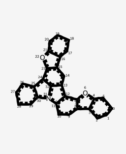 c1ccc2c(c1)oc1c2ccc2c1c1cc3c4ccccc4oc3c3c4ccccc4n2c13